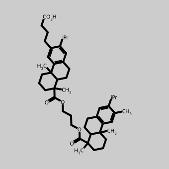 Cc1cc2c(cc1C(C)C)CCC1C(C)(C(=O)OCCCOC(=O)C3(C)CCCC4(C)c5cc(CCCC(=O)O)c(C(C)C)cc5CCC34)CCCC21C